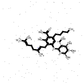 CCCCCc1cc(OC2O[C@H](O)[C@@H](O)[C@H](O)[C@H]2CO)c(C/C=C(\C)CCC=C(C)C)c(O)c1C(=O)O